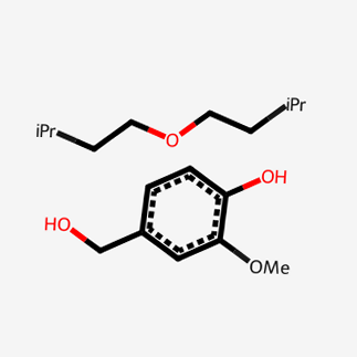 CC(C)CCOCCC(C)C.COc1cc(CO)ccc1O